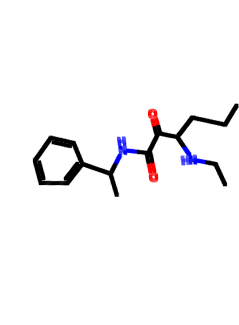 CCCC(NCC)C(=O)C(=O)NC(C)c1ccccc1